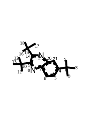 CC(C)(C)c1ccc2nc(C(C)(C)C)c(C(C)(C)C)nc2c1